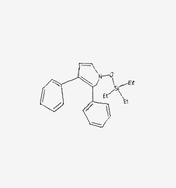 CC[Si](CC)(CC)On1ccc(-c2ccccc2)c1-c1ccccc1